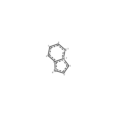 [c]1cn2n[c]ccc2n1